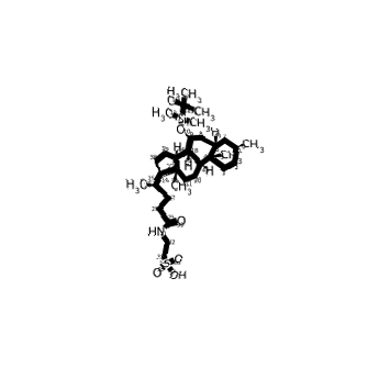 C[C@@H]1CC[C@@]2(C)[C@@H](C1)C[C@@H](O[Si](C)(C)C(C)(C)C)[C@@H]1[C@@H]2CC[C@]2(C)[C@@H]([C@H](C)CCC(=O)NCCS(=O)(=O)O)CC[C@@H]12